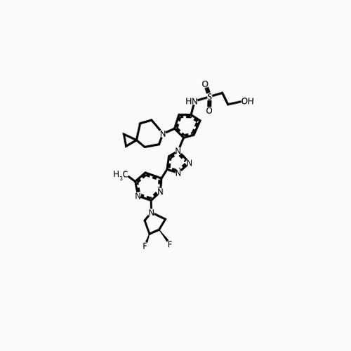 Cc1cc(-c2cn(-c3ccc(NS(=O)(=O)CCO)cc3N3CCC4(CC3)CC4)nn2)nc(N2C[C@@H](F)[C@@H](F)C2)n1